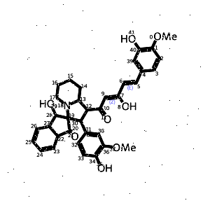 COc1ccc(/C=C/C(O)=C/C(=O)C2C3CCCCN3C3(C(=O)C4C=CC=CC4C3O)C2c2ccc(O)c(OC)c2)cc1O